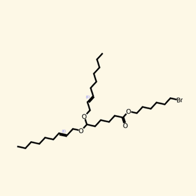 CCCCCC/C=C/COC(CCCCC(=O)OCCCCCCBr)OC/C=C/CCCCCC